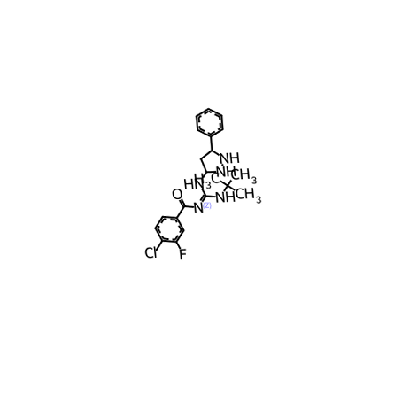 CC(C)(C)N/C(=N/C(=O)c1ccc(Cl)c(F)c1)NC1CC(c2ccccc2)NN1